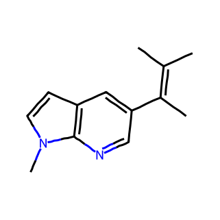 CC(C)=C(C)c1cnc2c(ccn2C)c1